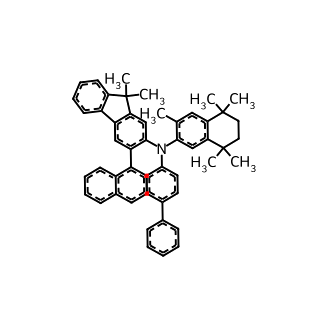 Cc1cc2c(cc1N(c1ccc(-c3ccccc3)cc1)c1cc3c(cc1-c1cccc4ccccc14)-c1ccccc1C3(C)C)C(C)(C)CCC2(C)C